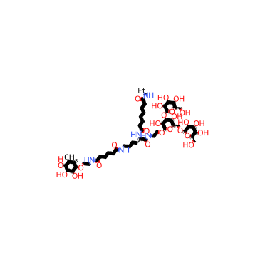 CCNC(=O)CCCCCCC(=O)N[C@@H](CCCCNC(=O)CCCCC(=O)NCCO[C@@H]1C[C@@H](C)[C@@H](O)[C@@H](O)[C@@H]1O)C(=O)NCCO[C@H]1O[C@H](CO[C@H]2O[C@H](CO)[C@@H](O)[C@H](O)[C@@H]2O)[C@@H](O)[C@H](O[C@H]2O[C@H](CO)[C@@H](O)[C@H](O)[C@@H]2O)[C@@H]1O